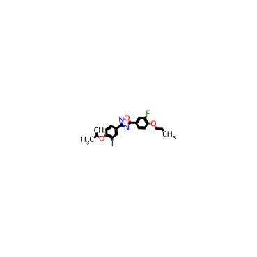 CCCOc1ccc(-c2nc(-c3ccc(OC(C)C)c(I)c3)no2)cc1F